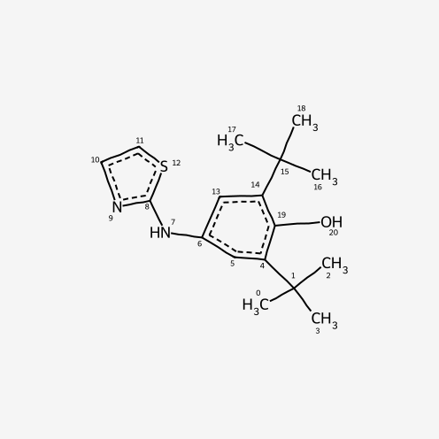 CC(C)(C)c1cc(Nc2nccs2)cc(C(C)(C)C)c1O